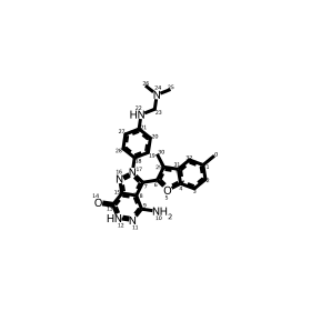 Cc1ccc2oc(-c3c4c(N)n[nH]c(=O)c4nn3-c3ccc(NCN(C)C)cc3)c(C)c2c1